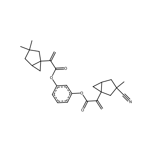 C=C(C(=O)Oc1cccc(OC(=O)C(=C)C23CC2CC(C)(C#N)C3)c1)C12CC1CC(C)(C)C2